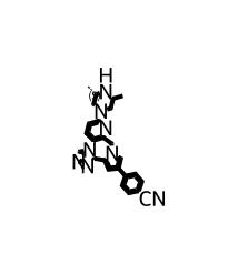 CC1CN(c2ccc3c(n2)Cn2cc(-c4ccc(C#N)cc4)cc2-c2nncn2-3)C[C@H](C)N1